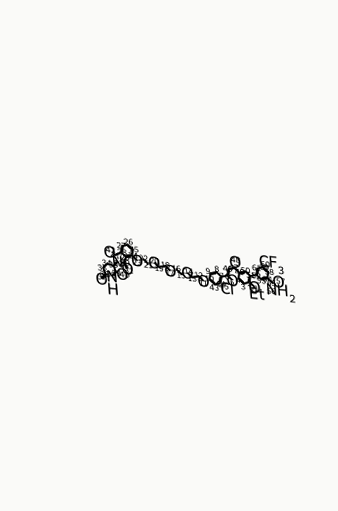 CCOc1cc2oc(-c3ccc(OCCOCCOCCOCCOc4cccc5c4C(=O)N(C4CCC(=O)NC4=O)C5=O)cc3Cl)cc(=O)c2cc1-c1cc(C(N)=O)cc(C(F)(F)F)c1